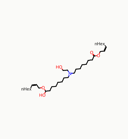 CCCCCC/C=C\COC(=O)CCCCCCCN(CCO)CCCCCCCC(O)OC/C=C\CCCCCC